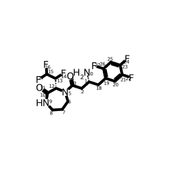 N[C@@H](CC(=O)N1CCCNC(=O)[C@@H]1C(F)C(F)F)Cc1cc(F)c(F)cc1F